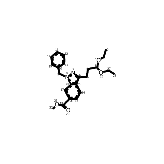 CCOC(CCc1nn(Cc2ccccc2)c2cc(C(=O)OC)ccc12)OCC